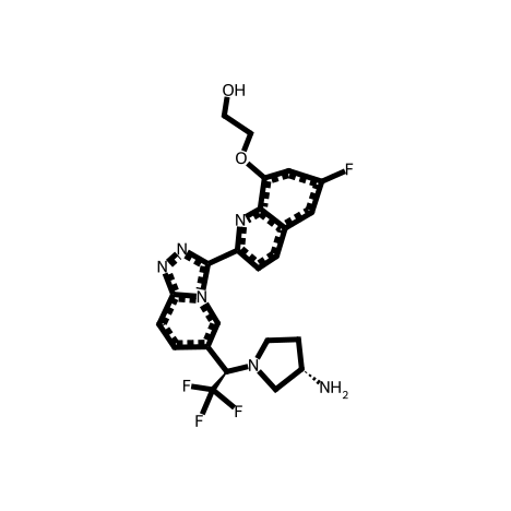 N[C@H]1CCN([C@H](c2ccc3nnc(-c4ccc5cc(F)cc(OCCO)c5n4)n3c2)C(F)(F)F)C1